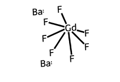 [Ba].[Ba].[F][Gd]([F])([F])([F])([F])([F])[F]